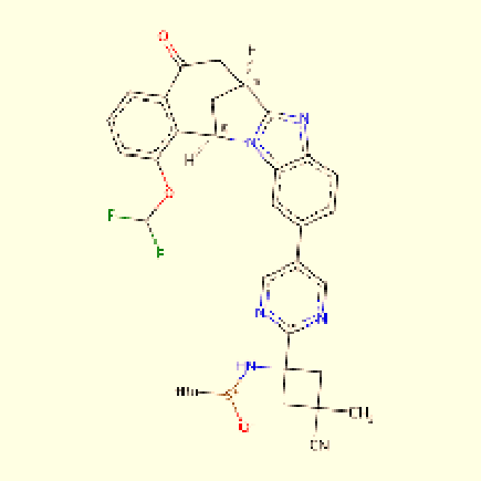 CC1(C#N)CC(N[S+]([O-])C(C)(C)C)(c2ncc(-c3ccc4nc5n(c4c3)[C@@H]3C[C@H]5CC(=O)c4cccc(OC(F)F)c43)cn2)C1